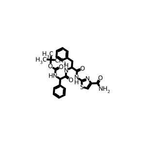 CC(C)(C)OC(=O)NC(C(=O)NC(Cc1ccccc1)C(=O)Nc1nc(C(N)=O)cs1)c1ccccc1